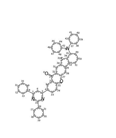 O=c1c2cc(-c3cc(-c4ccccc4)nc(-c4ccccc4)n3)ccc2oc2cc3c(cc12)sc1c(N(c2ccccc2)c2ccccc2)cccc13